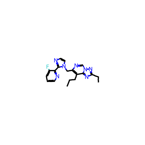 CCCc1c(Cn2ccnc2-c2ncccc2F)ncn2nc(CC)nc12